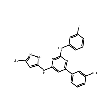 CC(C)(C)c1cc(Nc2cc(-c3cccc([N+](=O)[O-])c3)nc(Nc3cccc(Cl)c3)n2)[nH]n1